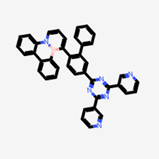 C1=CN2B(C(c3ccc(-c4nc(-c5cccnc5)nc(-c5cccnc5)n4)cc3-c3ccccc3)=C1)c1ccccc1-c1ccccc12